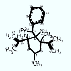 C=C(C)C1(C)CC(C)CC(N)(C(=C)C)C1(N)C(c1ccccc1)C(C)C